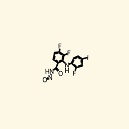 O=NNC(=O)c1ccc(F)c(F)c1Nc1ccc(I)cc1F